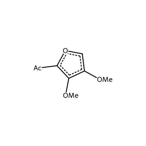 COc1coc(C(C)=O)c1OC